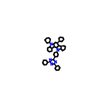 c1ccc(-c2nc(-c3ccccc3)nc(-c3ccc(-n4c5ccccc5c5c(-c6ccccc6)cc6c(c7ccccc7n6-c6ccccc6)c54)cc3)n2)cc1